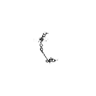 CC1(C)C(NC(=O)c2ccc(N3CCN(CCOCCCCCc4cccc5c4C(=O)N([C@H]4CCC(=O)NC4=O)C5=O)CC3)cc2)C(C)(C)C1Oc1ccc(C#N)c(Cl)c1